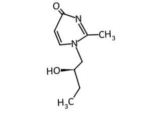 CC[C@@H](O)Cn1ccc(=O)nc1C